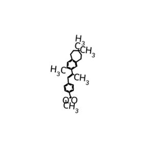 COC(=O)c1ccc(C=C(C)c2cc3c(cc2C)CCC(C)(C)CC3)cc1